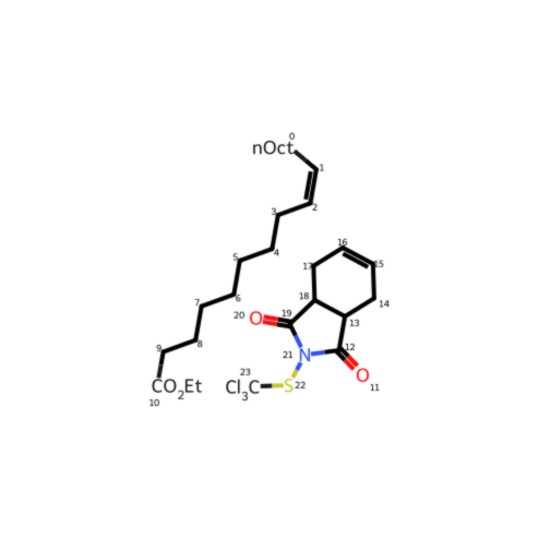 CCCCCCCC/C=C\CCCCCCCC(=O)OCC.O=C1C2CC=CCC2C(=O)N1SC(Cl)(Cl)Cl